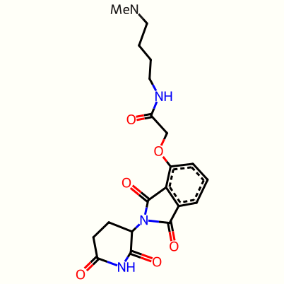 CNCCCCNC(=O)COc1cccc2c1C(=O)N(C1CCC(=O)NC1=O)C2=O